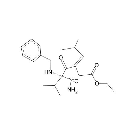 CCOC(=O)CC(=CC(C)C)C(=O)[C@@](NCc1ccccc1)(C(N)=O)C(C)C